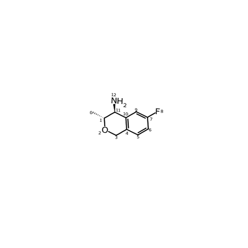 C[C@H]1OCc2ccc(F)cc2[C@@H]1N